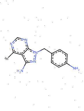 [2H]c1ncnc2c1c(N)nn2Cc1ccc(N)cc1